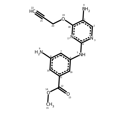 Bc1cnc(Nc2cc(N)cc(C(=O)OC)c2)nc1OCC#C